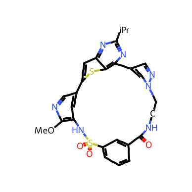 COc1ncc2cc1NS(=O)(=O)c1cccc(c1)C(=O)NCCn1cc(cn1)-c1nc(C(C)C)nc3cc-2sc13